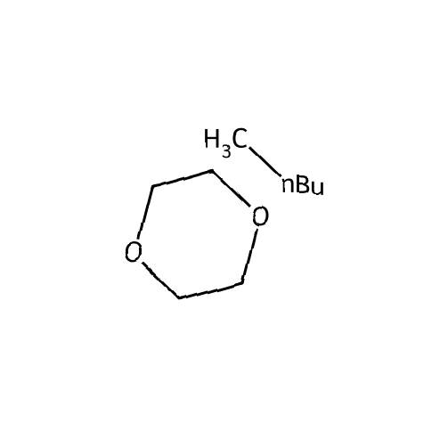 C1COCCO1.CCCCC